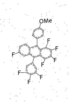 COc1ccc(-c2c3ccc(F)cc3c(-c3cc(F)c(F)c(F)c3)c3c(F)c(F)c(F)c(F)c23)cc1